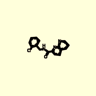 O=C(NCc1ccccc1Cl)c1ccc2cccnc2n1